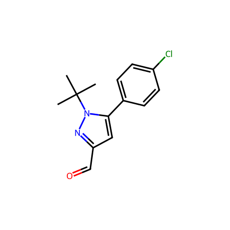 CC(C)(C)n1nc(C=O)cc1-c1ccc(Cl)cc1